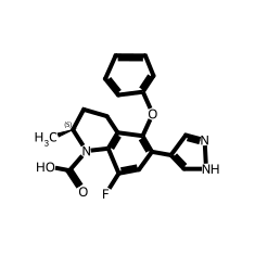 C[C@H]1CCc2c(Oc3ccccc3)c(-c3cn[nH]c3)cc(F)c2N1C(=O)O